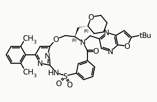 Cc1cccc(C)c1-c1cc2nc(n1)NS(=O)(=O)c1cccc(c1)C(=O)N(Cc1cnc3oc(C(C)(C)C)cc3n1)[C@H](C[C@H]1CCCCO1)CO2